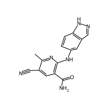 Cc1nc(Nc2ccc3[nH]ncc3c2)c(C(N)=O)cc1C#N